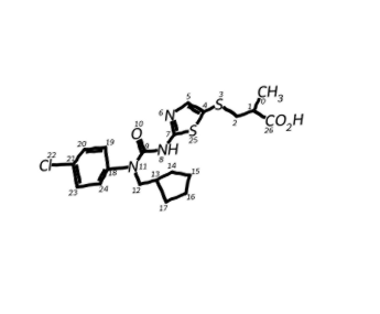 CC(CSc1cnc(NC(=O)N(CC2CCCC2)c2ccc(Cl)cc2)s1)C(=O)O